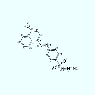 [N-]=[N+]=NS(=O)(=O)c1ccc(N=Nc2ccc(O)c3ccccc23)cc1